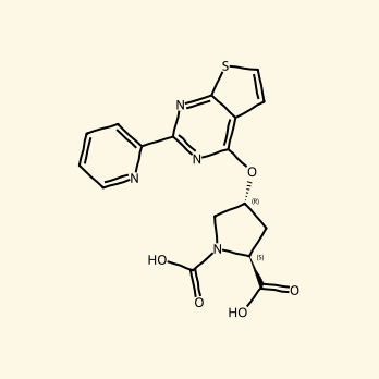 O=C(O)[C@@H]1C[C@@H](Oc2nc(-c3ccccn3)nc3sccc23)CN1C(=O)O